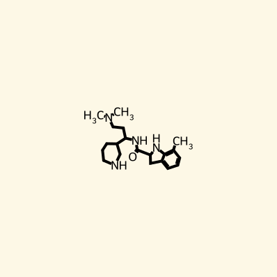 Cc1cccc2c1NC(C(=O)NC(CCN(C)C)C1CCCNC1)C2